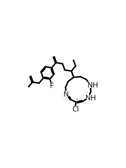 C=C(C)Cc1ccc(C(=C)CCC(CC)C2CC/N=C\C(Cl)=C/NCNCC2)cc1F